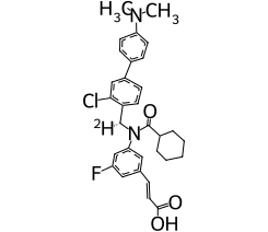 [2H][C@H](c1ccc(-c2ccc(N(C)C)cc2)cc1Cl)N(C(=O)C1CCCCC1)c1cc(F)cc(/C=C/C(=O)O)c1